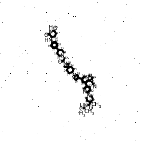 CC(C)NC(=O)C1(C)CCN(c2ccc(-c3cc(-c4cnn(C5CCC6(CC5)CN(C(=O)CN5CCC(c7ccc(NC8CCC(=O)NC8=O)cc7)CC5)C6)c4)cn4ncc(C#N)c34)cn2)CC1